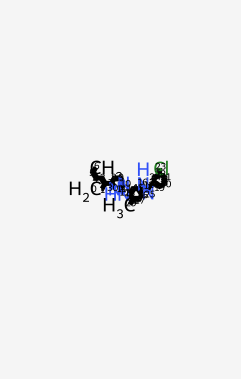 C=C/C(=C\C=C/C)c1ccnc(Nc2cc3[nH]c(-c4cccc(Cl)c4)nc3cc2C)n1